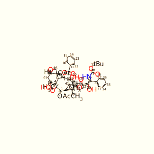 CC(=O)O[C@H]1C(=O)[C@@]2(C)C([C@H](OC(=O)c3ccccc3)[C@]3(O)C[C@H](OC(=O)[C@H](O)[C@@H](NC(=O)OC(C)(C)C)c4ccccc4)C(C)=C1C3(C)C)[C@]1(OC(C)=O)CO[C@@H]1C[C@@H]2O